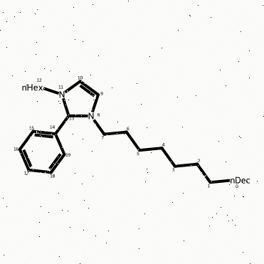 CCCCCCCCCCCCCCCCCN1C=CN(CCCCCC)C1c1ccccc1